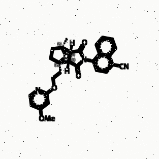 COc1ccnc(OCC[C@]23CC[C@](C)(O2)[C@@H]2C(=O)N(c4ccc(C#N)c5ccccc45)C(=O)[C@@H]23)c1